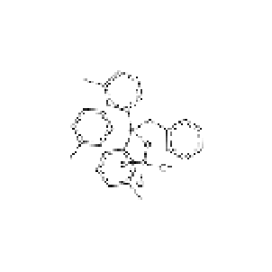 Cc1cccc(P(Cc2ccccc2)(OP(=O)(O)O)(c2cccc(C)c2)c2cccc(C)c2)c1